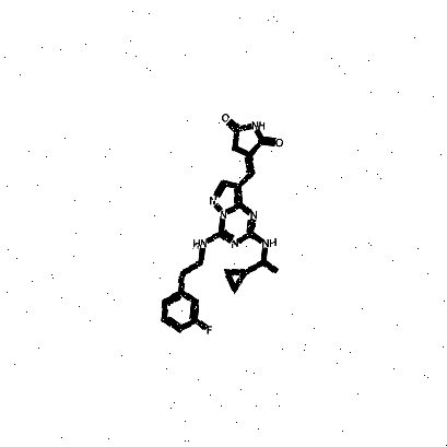 CC(Nc1nc(NCCc2cccc(F)c2)n2ncc(C=C3CC(=O)NC3=O)c2n1)C1CC1